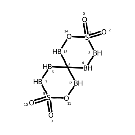 O=S1(=O)BBC2(BBS(=O)(=O)OB2)BO1